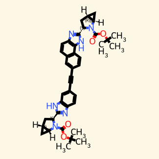 CC(C)(C)OC(=O)N1[C@@H]2C[C@@H]2C[C@H]1c1nc2ccc(C#Cc3ccc4c(ccc5nc([C@@H]6C[C@H]7C[C@H]7N6C(=O)OC(C)(C)C)[nH]c54)c3)cc2[nH]1